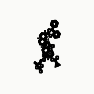 Cc1oc(=O)oc1COC(=O)[C@]1(C)[C@@H](OC(=O)C2CC2)CC[C@@]2(C)[C@H]1CC[C@]1(C)[C@@H]2C(=O)C=C2[C@@H]3C[C@@](C)(C(=O)OC(c4ccccc4)c4ccccc4)CC[C@]3(C)CC[C@]21C